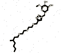 CCCCC(C)CCOCCOCCOCc1cn(C[C@@H]2C[C@H](O)[C@@H](O)[C@@H](OC)O2)nn1